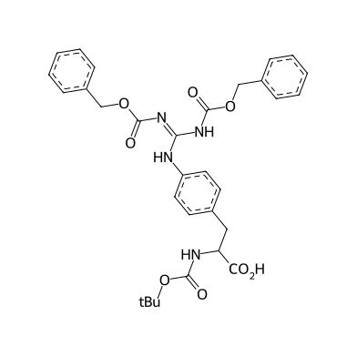 CC(C)(C)OC(=O)NC(Cc1ccc(N/C(=N\C(=O)OCc2ccccc2)NC(=O)OCc2ccccc2)cc1)C(=O)O